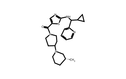 C[C@@H]1CCCN(C2CCN(C(=O)c3cnc(NC(c4ccccn4)C4CC4)s3)CC2)C1